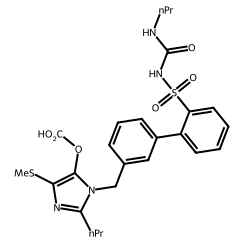 CCCNC(=O)NS(=O)(=O)c1ccccc1-c1cccc(Cn2c(CCC)nc(SC)c2OC(=O)O)c1